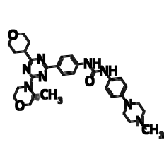 C[C@@H]1COCCN1c1nc(-c2ccc(NC(=O)Nc3ccc(N4CCN(C)CC4)cc3)cc2)nc(C2CCOCC2)n1